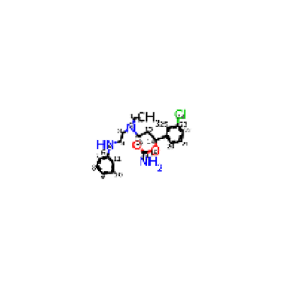 CCN(CCNc1ccccc1)CCC(OC(N)=O)c1cccc(Cl)c1